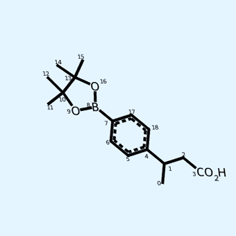 CC(CC(=O)O)c1ccc(B2OC(C)(C)C(C)(C)O2)cc1